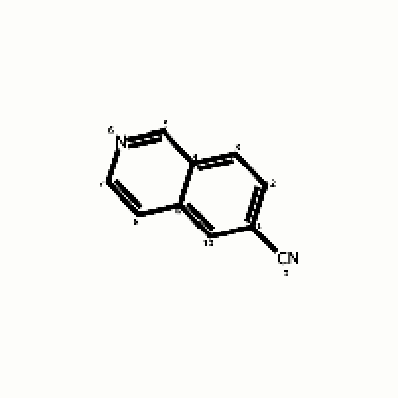 N#Cc1ccc2cnccc2c1